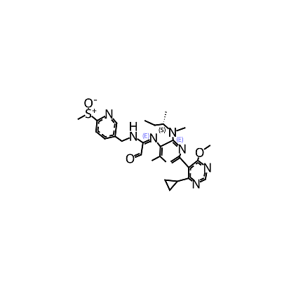 C=C(/N=C(\C(/N=C(\C=O)NCc1ccc([S+](C)[O-])nc1)=C(C)C)N(C)[C@@H](C)CC)c1c(OC)ncnc1C1CC1